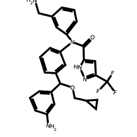 NCc1cccc(N(C(=O)c2cc(C(F)(F)F)n[nH]2)c2cccc(C(OCC3CC3)c3cccc(N)c3)c2)c1